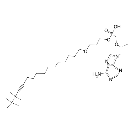 C[C@H](Cn1cnc2c(N)ncnc21)OCP(=O)(O)OCCCOCCCCCCCCCCCC#C[Si](C)(C)C(C)(C)C